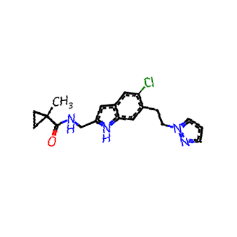 CC1(C(=O)NCc2cc3cc(Cl)c(CCn4cccn4)cc3[nH]2)CC1